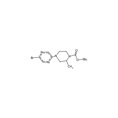 CC1CN(c2cnc(Br)cn2)CCN1C(=O)OC(C)(C)C